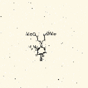 COCCN(CCOC)c1ccc(Br)cc1N